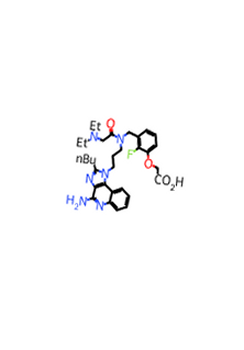 CCCCc1nc2c(N)nc3ccccc3c2n1CCCN(Cc1cccc(OCC(=O)O)c1F)C(=O)CN(CC)CC